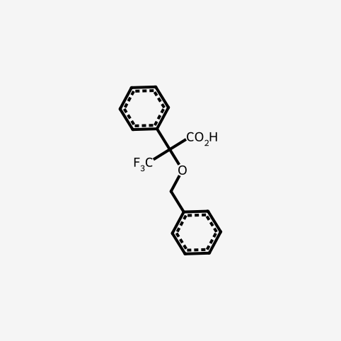 O=C(O)C(OCc1ccccc1)(c1ccccc1)C(F)(F)F